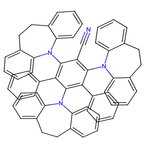 N#Cc1c(N2c3ccccc3CCc3ccccc32)c(-c2ccccc2)c(N2c3ccccc3CCc3ccccc32)c(-c2ccccc2)c1N1c2ccccc2CCc2ccccc21